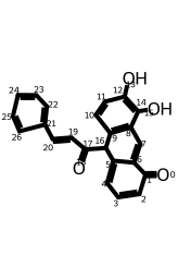 O=C1C=CC=C2C1=Cc1c(ccc(O)c1O)C2C(=O)C=Cc1ccccc1